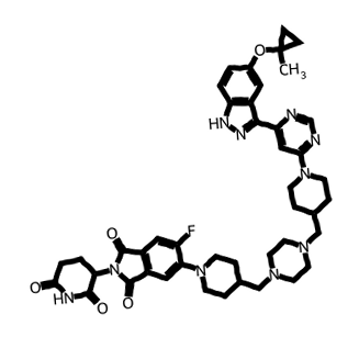 CC1(Oc2ccc3[nH]nc(-c4cc(N5CCC(CN6CCN(CC7CCN(c8cc9c(cc8F)C(=O)N(C8CCC(=O)NC8=O)C9=O)CC7)CC6)CC5)ncn4)c3c2)CC1